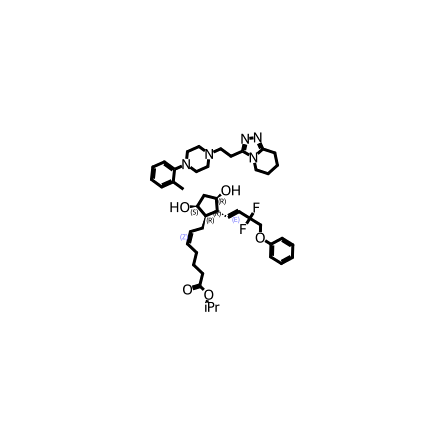 CC(C)OC(=O)CCC/C=C\C[C@@H]1[C@@H](/C=C/C(F)(F)COc2ccccc2)[C@H](O)C[C@@H]1O.Cc1ccccc1N1CCN(CCc2nnc3n2CCCC3)CC1